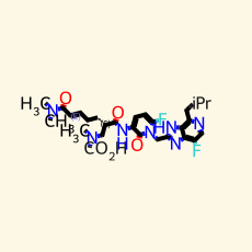 CC(C)Cc1ncc(F)c2nc(Cn3c(F)ccc(NC(=O)[C@@H](CC/C=C/C(=O)N(C)C)CN(C)C(=O)O)c3=O)[nH]c12